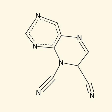 N#CC1C=Nc2cncnc2N1C#N